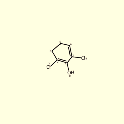 OC1=C(Cl)C[CH]C=C1Cl